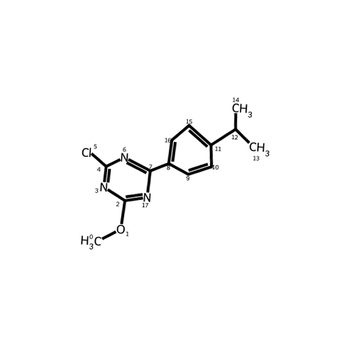 COc1nc(Cl)nc(-c2ccc(C(C)C)cc2)n1